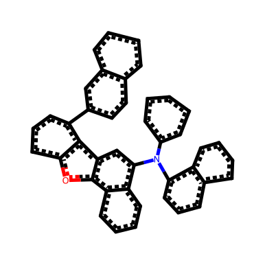 c1ccc(N(c2cccc3ccccc23)c2cc3c(oc4cccc(-c5ccc6ccccc6c5)c43)c3ccccc23)cc1